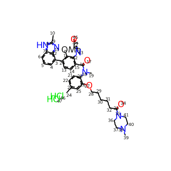 COc1c(-c2cccc3[nH]c(C)nc23)ccc(C(=O)N(C)c2ccc(C)cc2OCCCCCC(=O)N2CCN(C)CC2)c1N=C=O.Cl.Cl